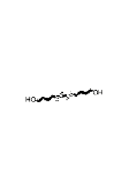 OCCCCSSSSCCCCO